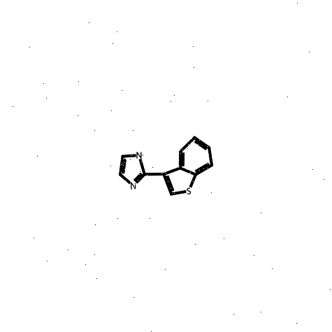 C1=CN=C(c2csc3ccccc23)[N]1